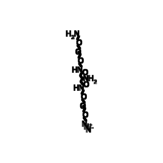 [N-]=[N+]=NCCOCCOCCOCCNC(=O)CC(N)CC(=O)NCCOCCOCCOCCN